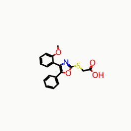 COc1ccccc1-c1nc(SCC(=O)O)oc1-c1ccccc1